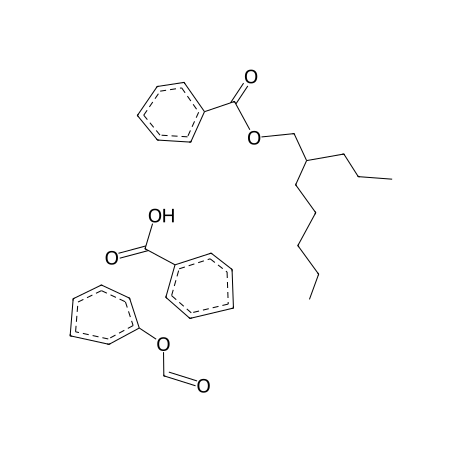 CCCCCC(CCC)COC(=O)c1ccccc1.O=C(O)c1ccccc1.O=COc1ccccc1